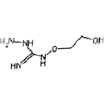 N=C(NN)NOCCO